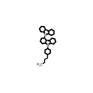 CCCCc1ccc(-n2c3ccccc3c3c(-n4c5ccccc5c5ccccc54)cccc32)cc1